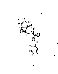 O=C(OCc1ccccc1)N1CCC2(CC=CC2)C(=O)C1